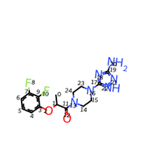 CC(Oc1cccc(F)c1F)C(=O)N1CCN(c2nc(N)n[nH]2)CC1